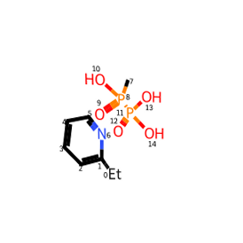 CCc1ccccn1.CP(=O)(O)P(=O)(O)O